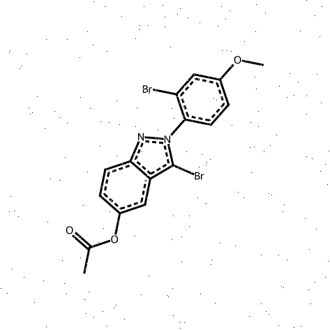 COc1ccc(-n2nc3ccc(OC(C)=O)cc3c2Br)c(Br)c1